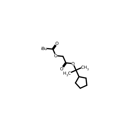 CCC(C)C(=O)OCC(=O)OC(C)(C)C1CCCC1